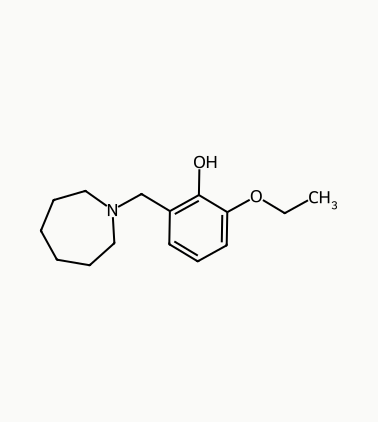 CCOc1cccc(CN2CCCCCC2)c1O